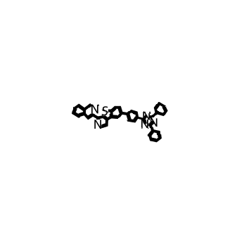 c1ccc(-c2nc(-c3ccccc3)nc(-c3ccc(-c4ccc5sc6c(-c7cc8ccccc8cn7)nccc6c5c4)cc3)n2)cc1